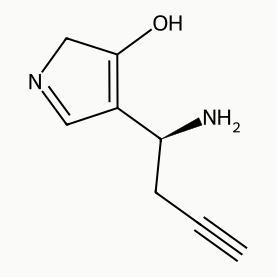 C#CC[C@H](N)C1=C(O)CN=C1